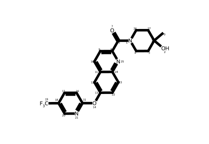 CC1(O)CCN(C(=O)c2ccc3cc(Oc4ccc(C(F)(F)F)cn4)ccc3n2)CC1